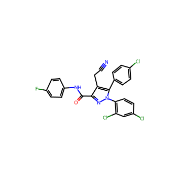 N#CCc1c(C(=O)Nc2ccc(F)cc2)nn(-c2ccc(Cl)cc2Cl)c1-c1ccc(Cl)cc1